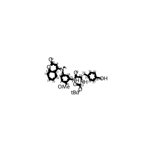 COc1ccc(N(C)c2cc(=O)oc3ccccc23)cc1NC(=O)[C@H](Cc1ccc(O)cc1)NC(=O)OC(C)(C)C